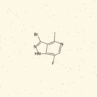 Cc1ncc(F)c2[nH]nc(Br)c12